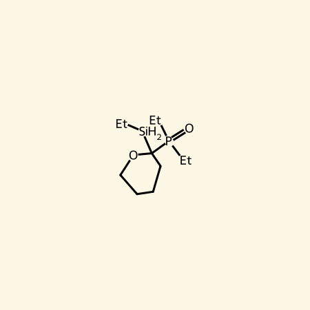 CC[SiH2]C1(P(=O)(CC)CC)CCCCO1